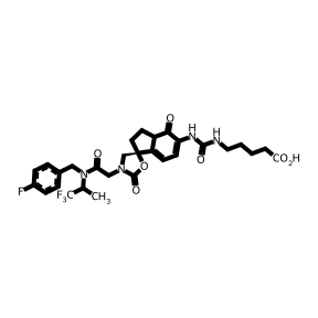 CC(N(Cc1ccc(F)cc1)C(=O)CN1C[C@]2(CCC3C(=O)C(NC(=O)NCCCCC(=O)O)=CC=C32)OC1=O)C(F)(F)F